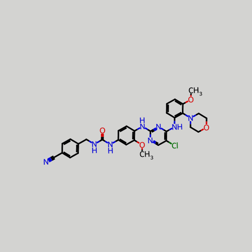 COc1cc(NC(=O)NCc2ccc(C#N)cc2)ccc1Nc1ncc(Cl)c(Nc2cccc(OC)c2N2CCOCC2)n1